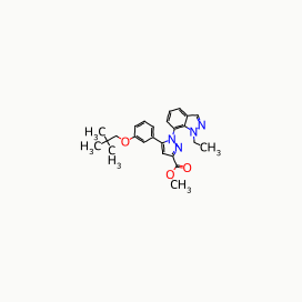 CCn1ncc2cccc(-n3nc(C(=O)OC)cc3-c3cccc(OCC(C)(C)C)c3)c21